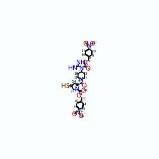 N=C(N)N(C(=O)OCc1ccc([N+](=O)[O-])cc1)C1CCN(C(=O)[C@@H]2C[C@H](S)CN2C(=O)OCc2ccc([N+](=O)[O-])cc2)CC1